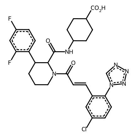 O=C(O)C1CCC(NC(=O)C2C(c3ccc(F)cc3F)CCCN2C(=O)C=Cc2cc(Cl)ccc2-n2cnnn2)CC1